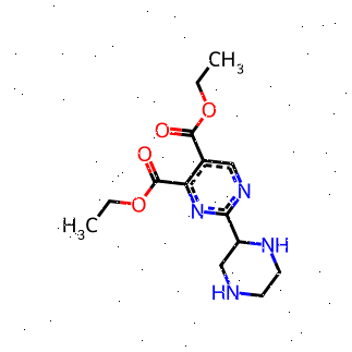 CCOC(=O)c1cnc(C2CNCCN2)nc1C(=O)OCC